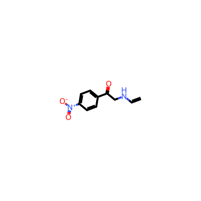 C=CNCC(=O)c1ccc([N+](=O)[O-])cc1